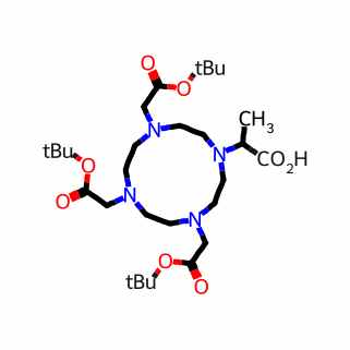 CC(C(=O)O)N1CCN(CC(=O)OC(C)(C)C)CCN(CC(=O)OC(C)(C)C)CCN(CC(=O)OC(C)(C)C)CC1